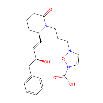 O=C(O)N1C=CN(CCCN2C(=O)CCC[C@@H]2C=C[C@@H](O)Cc2ccccc2)O1